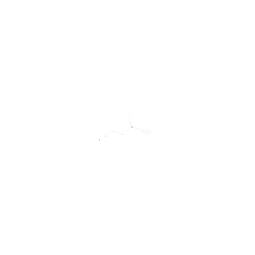 C#CC(S)CCCCC